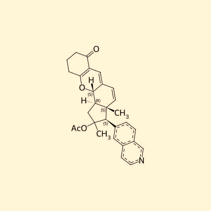 CC(=O)OC1(C)C[C@H]2[C@@H]3OC4=C(C=C3C=C[C@]2(C)[C@H]1c1ccc2cnccc2c1)C(=O)CCC4